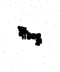 Cc1cc2c(=O)[nH]c(CCCC(=O)N3CCC(C(=O)c4cnn(C(C)C)c4)CC3)nn2c1